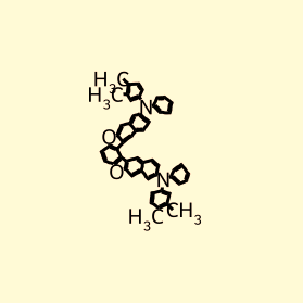 Cc1ccc(N(c2ccccc2)c2ccc3cc4c(cc3c2)oc2ccc3oc5cc6cc(N(c7ccccc7)c7ccc(C)c(C)c7)ccc6cc5c3c24)cc1C